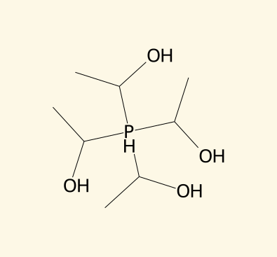 CC(O)[PH](C(C)O)(C(C)O)C(C)O